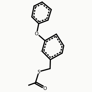 CC(=O)SCc1[c]c(Oc2ccccc2)ccc1